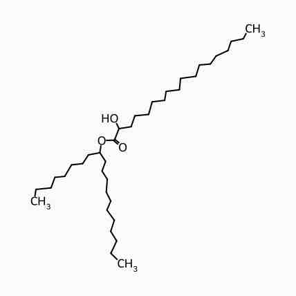 CCCCCCCCCCCCCCCCC(O)C(=O)OC(CCCCCCCC)CCCCCCCCCCC